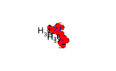 CC1(C)C2=C(CCc3c2ccc2c4ccc(-c5cccc6c5C(C)(C)C5=C6c6ccc7c8ccccc8n(-c8nc9c%10c(cccc%10n8)Sc8ccccc8-9)c7c6CC5)cc4n(-c4nc5c6c(cccc6n4)Sc4ccccc4-5)c32)c2ccccc21